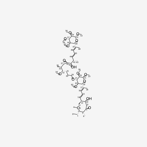 CC[C@H](OC)[C@@H](C)[C@@H]1O[C@H]1[C@H](O)[C@@H](C)/C=C/C=C(\C)[C@H]1O[C@H](OC)[C@H](OC)[C@@H](OCCC[C@H](OC)[C@@H](C)[C@@H]2O[C@H]2[C@H](O)[C@@H](C)/C=C/C=C(\C)[C@H]2O[C@@H](OC)[C@H](OC)[C@@H](OC)[C@@H]2OC)[C@@H]1OC